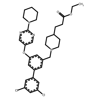 CCOC(=O)CCC1CCN(Cc2cc(Oc3cnc(N4CCCCC4)nc3)cc(-c3cc(Cl)cc(Cl)c3)c2)CC1